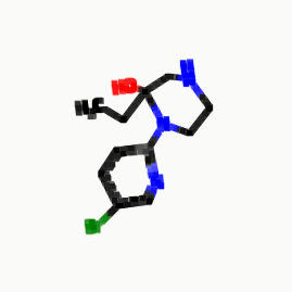 CCC1(O)CNCCN1c1ccc(Br)cn1